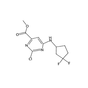 COC(=O)c1cc(NC2CCC(F)(F)C2)nc(Cl)n1